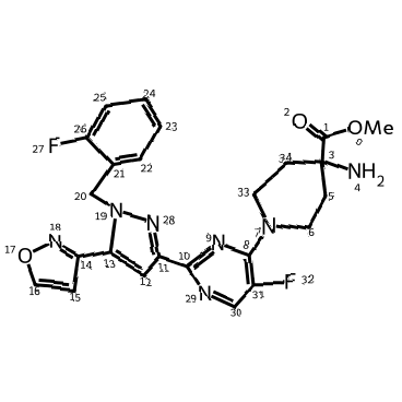 COC(=O)C1(N)CCN(c2nc(-c3cc(-c4ccon4)n(Cc4ccccc4F)n3)ncc2F)CC1